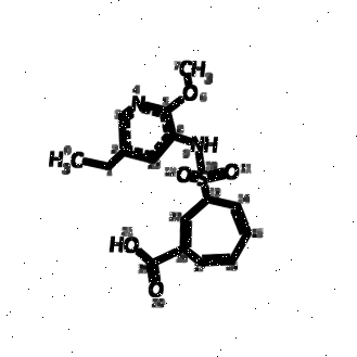 CCc1cnc(OC)c(NS(=O)(=O)C2C=CC=CC(C(=O)O)=C2)c1